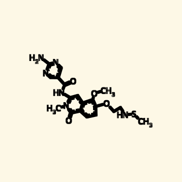 COc1c(OCCNSC)ccc2c(=O)n(C)c(NC(=O)c3cnc(N)nc3)cc12